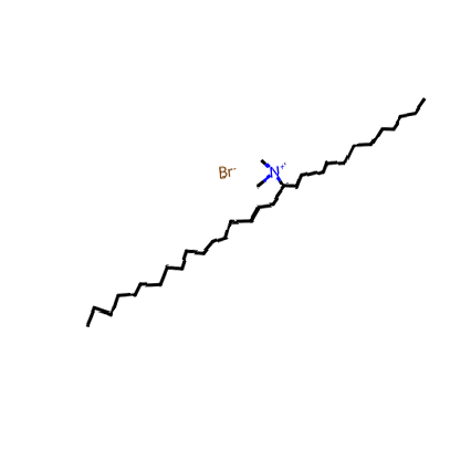 CCCCCCCCCCCCCCCCCC(CCCCCCCCCCCC)[N+](C)(C)C.[Br-]